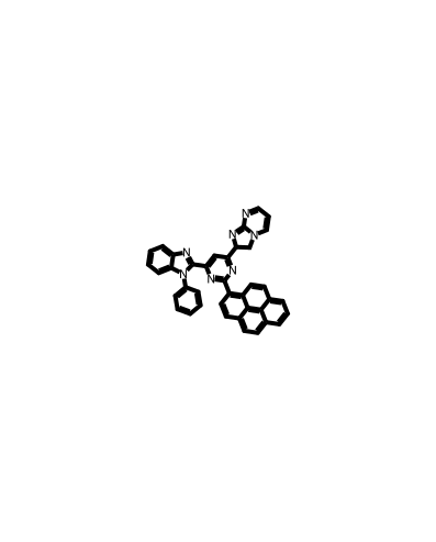 C1=CN2CC(c3cc(-c4nc5ccccc5n4-c4ccccc4)nc(-c4ccc5ccc6cccc7ccc4c5c67)n3)N=C2N=C1